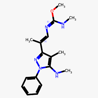 CN/C(=N\C=C(/C)c1nn(-c2ccccc2)c(NC)c1C)OC